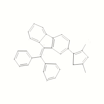 CC1=CC(C)=C(c2[c]c3c(cc2)-c2ccccc2C3=C(c2ccccc2)c2ccccc2)C1